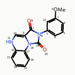 COc1cccc(-n2c(=O)c3c[nH]c4ccccc4n-3c2=O)c1